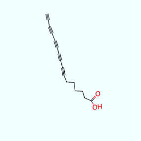 C#CC#CC#CC#CC#CCCCCCC(=O)O